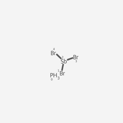 P.[Br][Sb]([Br])[Br]